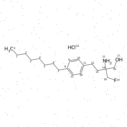 CCCCCCCCc1ccc(CCC(N)(CO)CF)cc1.Cl